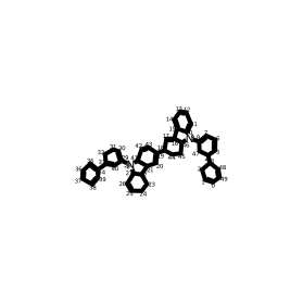 C1=CCC(C2C=CC=C(N3c4ccccc4C4=CC(C5=CC6C7CCC=CC7N(C7=CCCC(c8ccccc8)=C7)C6C=C5)CCC43)C2)C=C1